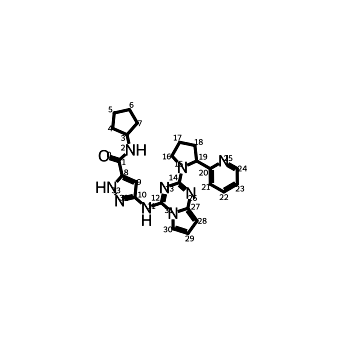 O=C(NC1CCCC1)c1cc(Nc2nc(N3CCCC3c3ccccn3)nc3cccn23)n[nH]1